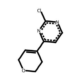 Clc1nccc(C2=CCOCC2)n1